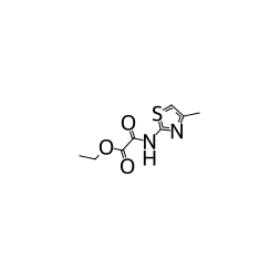 CCOC(=O)C(=O)Nc1nc(C)cs1